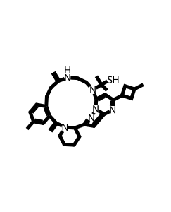 C=C1CCc2ccc(C)cc2C(=C)N2CCCCC2c2cc3nc(C4CC(C)C4)cc(n3n2)N(C(C)(C)S)CCN1